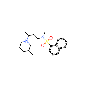 CC1CCCN(C(C)CCN(C)S(=O)(=O)c2cccc3ccccc23)C1